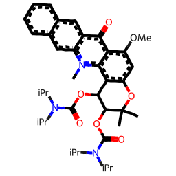 COc1cc2c(c3c1c(=O)c1cc4ccccc4cc1n3C)C(OC(=O)N(C(C)C)C(C)C)C(OC(=O)N(C(C)C)C(C)C)C(C)(C)O2